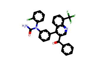 NC(=O)N(c1cccc(-c2c(C(=O)c3ccccc3)cnc3c(C(F)(F)F)cccc23)c1)c1ccccc1F